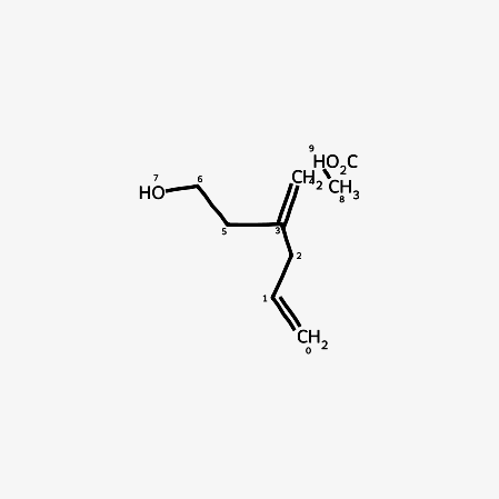 C=CCC(=C)CCO.CC(=O)O